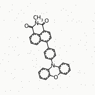 CN1C(=O)c2cccc3c(-c4ccc(N5c6ccccc6Oc6ccccc65)cc4)ccc(c23)C1=O